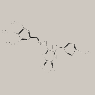 COc1ccc(Nc2nc3nonc3nc2N/N=C/c2cc(OC)c(OC)c(OC)c2)cc1